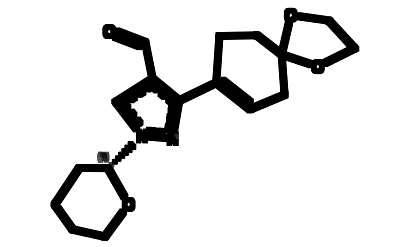 O=Cc1cn([C@H]2CCCCO2)nc1C1=CCC2(CC1)OCCO2